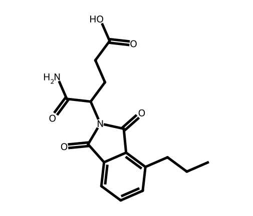 CCCc1cccc2c1C(=O)N(C(CCC(=O)O)C(N)=O)C2=O